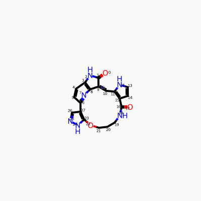 O=C1Nc2ccc3nc2/C1=C/c1[nH]ccc1C(=O)NCCCOc1[nH]ncc1-3